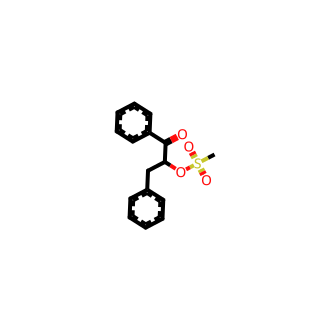 CS(=O)(=O)OC(Cc1ccccc1)C(=O)c1ccccc1